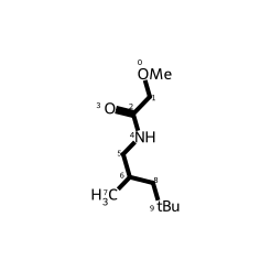 COCC(=O)NCC(C)CC(C)(C)C